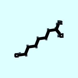 CCC(Cl)CCCCCCCl